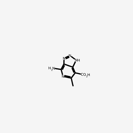 Cc1nc(N)c2nn[nH]c2c1C(=O)O